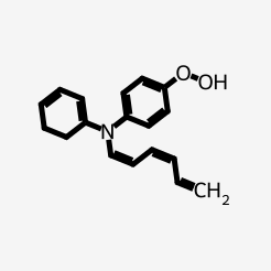 C=C/C=C\C=C/N(C1=CC=CCC1)c1ccc(OO)cc1